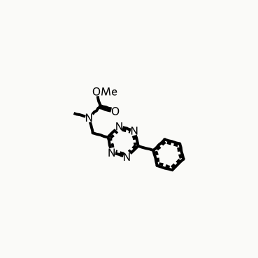 COC(=O)N(C)Cc1nnc(-c2ccccc2)nn1